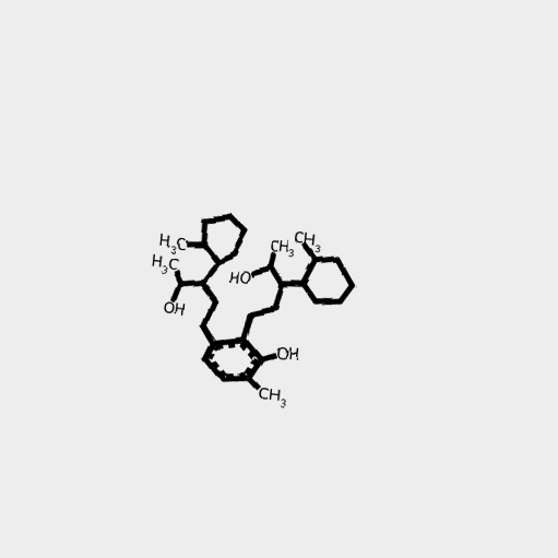 Cc1ccc(CCC(C(C)O)C2CCCCC2C)c(CCC(C(C)O)C2CCCCC2C)c1O